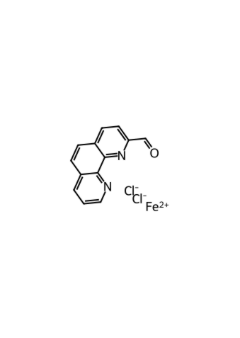 O=Cc1ccc2ccc3cccnc3c2n1.[Cl-].[Cl-].[Fe+2]